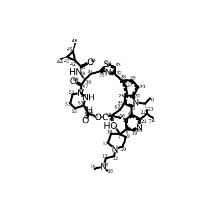 CCn1c(-c2cc(C3(O)CCN(CCN(C)C)CC3)cnc2C(C)C)c2c3cc(ccc31)-c1csc(n1)C[C@H](NC(=O)C1[C@@H](C)[C@H]1C)C(=O)N1CCC[C@H](N1)C(=O)OCC(C)(C)C2